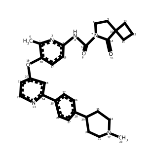 Cc1nc(NC(=O)N2CCC3(CCC3)C2=O)ccc1Oc1ccnc(-c2ccc(C3CCN(C)CC3)cc2)c1